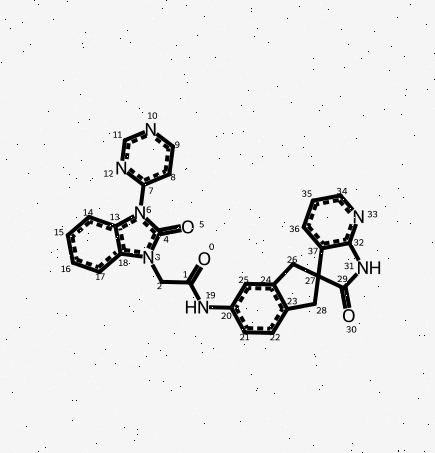 O=C(Cn1c(=O)n(-c2ccncn2)c2ccccc21)Nc1ccc2c(c1)CC1(C2)C(=O)Nc2ncccc21